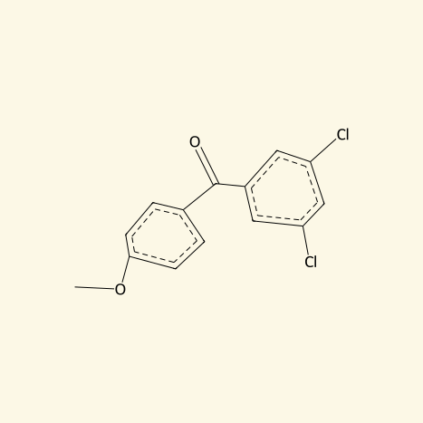 COc1ccc(C(=O)c2cc(Cl)cc(Cl)c2)cc1